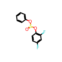 O=S(Oc1ccccc1)Oc1ccc(F)cc1F